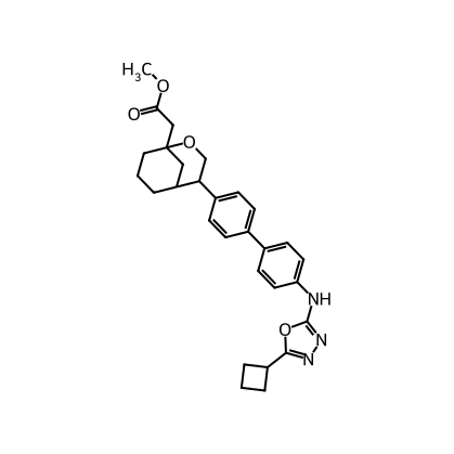 COC(=O)CC12CCCC(C1)C(c1ccc(-c3ccc(Nc4nnc(C5CCC5)o4)cc3)cc1)CO2